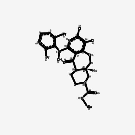 CC(C)c1ncnc(C(C)C)c1N(C)c1nc(Cl)c(Cl)c2c1C(=O)N1CCN(C(=O)OC(C)(C)C)C[C@@H]1CO2